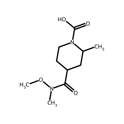 CON(C)C(=O)C1CCN(C(=O)O)C(C)C1